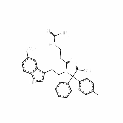 COc1ccc2[nH]cc(CCN(C(=O)CCNC(=N)N)C(C(N)=O)(c3ccccc3)c3ccc(Cl)cc3)c2c1